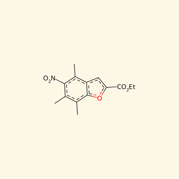 CCOC(=O)c1cc2c(C)c([N+](=O)[O-])c(C)c(C)c2o1